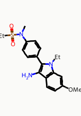 CCn1c(-c2ccc(N(C)S(=O)(=O)CC)cc2)c(N)c2ccc(OC)cc21